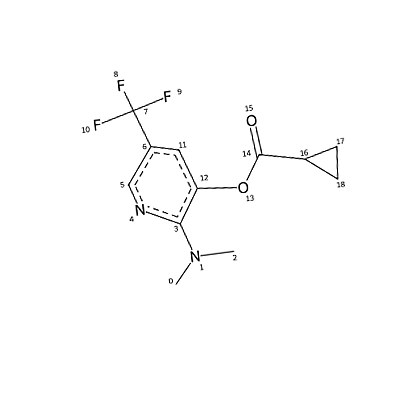 CN(C)c1ncc(C(F)(F)F)cc1OC(=O)C1CC1